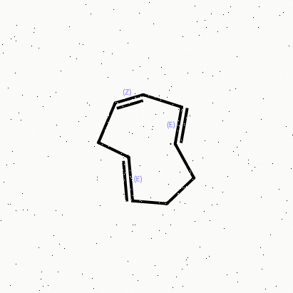 [C]1=C/C=C\C/C=C/CC/1